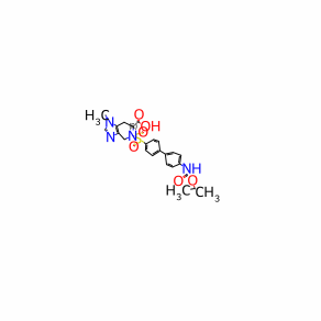 CC(C)OC(=O)Nc1ccc(-c2ccc(S(=O)(=O)N3Cc4ncn(C)c4C[C@@H]3C(=O)O)cc2)cc1